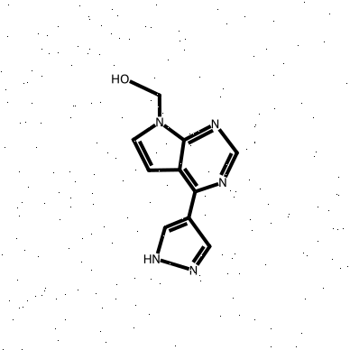 OCn1ccc2c(-c3cn[nH]c3)ncnc21